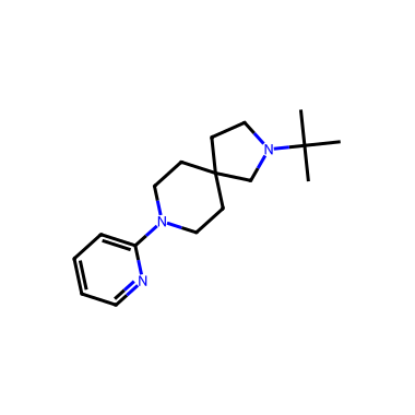 CC(C)(C)N1CCC2(CCN(c3ccccn3)CC2)C1